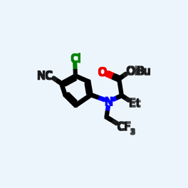 CCC(C(=O)OCC(C)C)N(CC(F)(F)F)c1ccc(C#N)c(Cl)c1